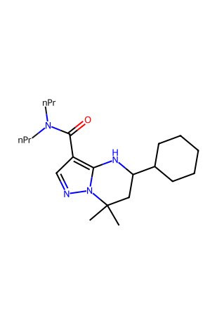 CCCN(CCC)C(=O)c1cnn2c1NC(C1CCCCC1)CC2(C)C